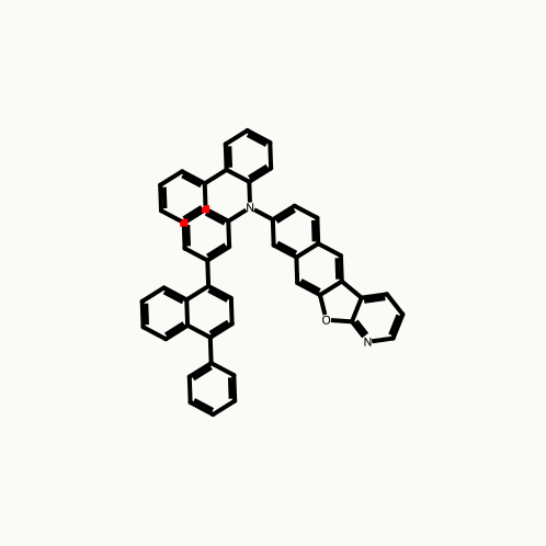 c1ccc(-c2ccccc2N(c2cccc(-c3ccc(-c4ccccc4)c4ccccc34)c2)c2ccc3cc4c(cc3c2)oc2ncccc24)cc1